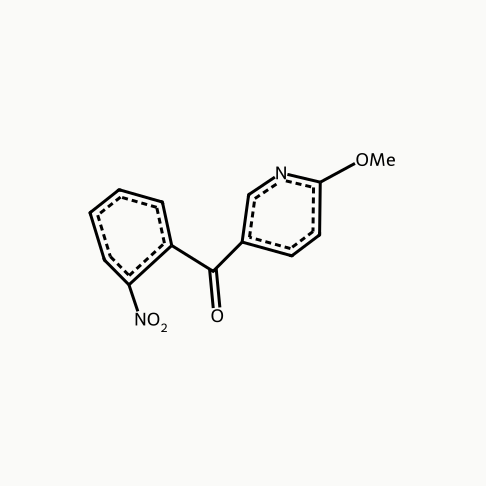 COc1ccc(C(=O)c2ccccc2[N+](=O)[O-])cn1